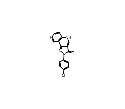 O=c1c2c[nH]c3ccncc3c-2nn1-c1ccc(Cl)cc1